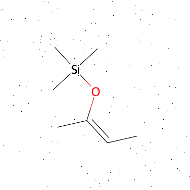 CC=C(C)O[Si](C)(C)C